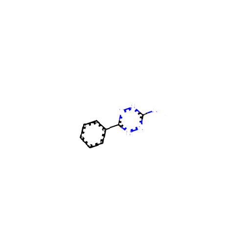 Nc1nnc(-c2ccccc2)nn1